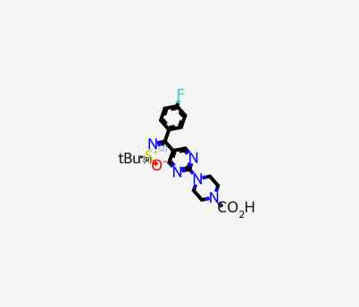 CC(C)(C)[S@+]([O-])/N=C(/c1ccc(F)cc1)c1cnc(N2CCN(C(=O)O)CC2)nc1